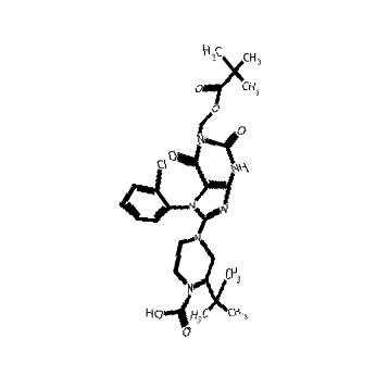 CC(C)(C)C(=O)OCn1c(=O)[nH]c2nc(N3CCN(C(=O)O)C(C(C)(C)C)C3)n(-c3ccccc3Cl)c2c1=O